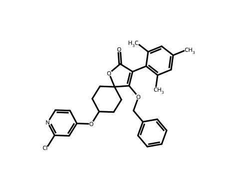 Cc1cc(C)c(C2=C(OCc3ccccc3)C3(CCC(Oc4ccnc(Cl)c4)CC3)OC2=O)c(C)c1